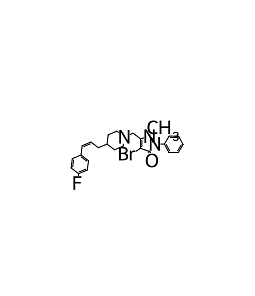 Cn1c(CN2CCC(C/C=C\c3ccc(F)cc3)CC2)c(Br)c(=O)n1-c1ccccc1